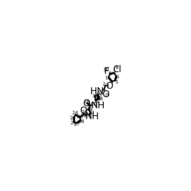 O=C(COc1ccc(Cl)c(F)c1)NC12CC(NC(=O)C3CNC(c4ccccc4)O3)(C1)C2